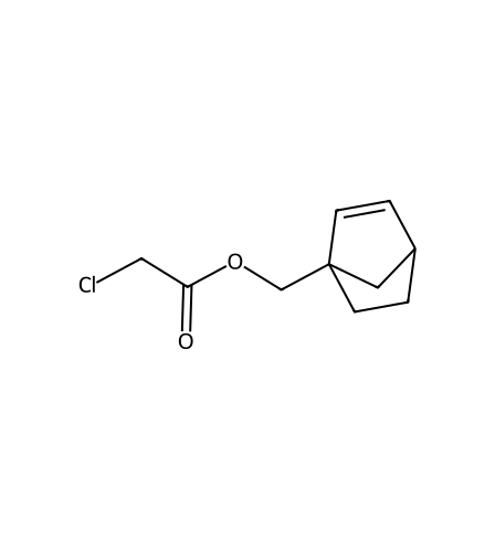 O=C(CCl)OCC12C=CC(CC1)C2